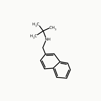 CC(C)(C)NCc1ccc2ccccc2c1